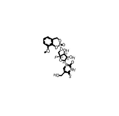 COc1cccc2c1OP(=O)(OC[C@@]1(F)O[C@@H](n3cc(CO)c(=S)[nH]c3=O)[C@H](O)[C@@H]1O)OC2